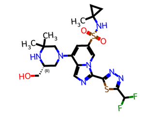 CC1(C)CN(c2cc(S(=O)(=O)NC3(C)CC3)cn3c(-c4nnc(C(F)F)s4)ncc23)C[C@H](CO)N1